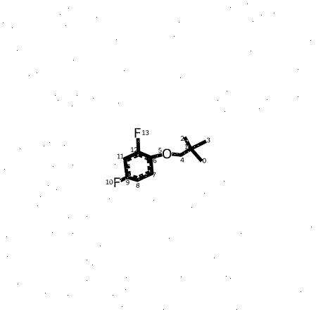 CC(C)(C)COc1ccc(F)cc1F